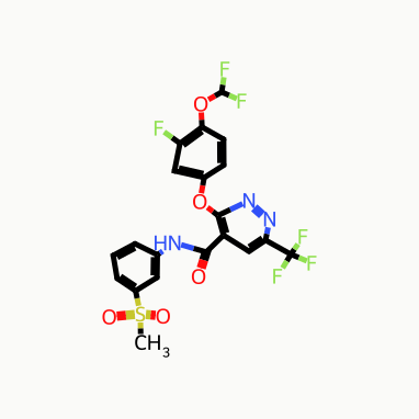 CS(=O)(=O)c1cccc(NC(=O)c2cc(C(F)(F)F)nnc2Oc2ccc(OC(F)F)c(F)c2)c1